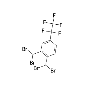 FC(F)(F)C(F)(F)c1ccc(C(Br)Br)c(C(Br)Br)c1